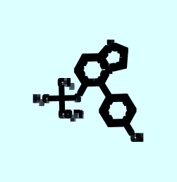 CCOC(=O)C(C)(C)Sc1ccc2nccn2c1-c1ccc(C#N)cc1